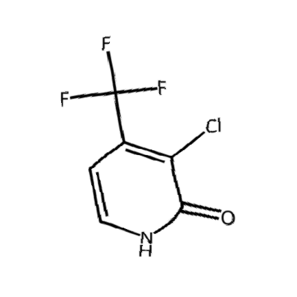 O=c1[nH]ccc(C(F)(F)F)c1Cl